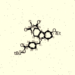 CCOc1ccc2c(c1)c1c(n2Cc2ccc(C(=O)OC(C)(C)C)cc2)CN2CC1C(=O)N(C)C2=O